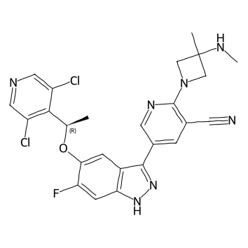 CNC1(C)CN(c2ncc(-c3n[nH]c4cc(F)c(O[C@H](C)c5c(Cl)cncc5Cl)cc34)cc2C#N)C1